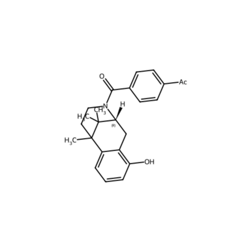 CC(=O)c1ccc(C(=O)N2CCC3(C)c4cccc(O)c4C[C@@H]2C3(C)C)cc1